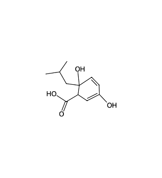 CC(C)CC1(O)C=CC(O)=CC1C(=O)O